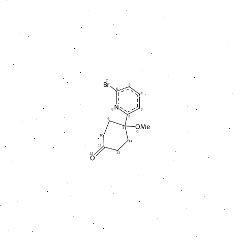 COC1(c2cccc(Br)n2)CCC(=O)CC1